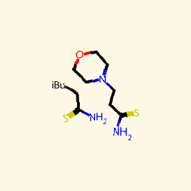 CCC(C)CC(N)=S.NC(=S)CCN1CCOCC1